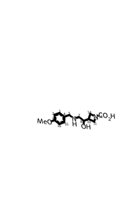 COc1ccc(CNCC(O)C2CN(C(=O)O)C2)cc1